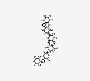 Cc1cc(-c2ccc(Oc3ccccc3)cc2)ccc1Sc1ccc(-c2ccc(Oc3ccccc3)cc2)cc1C